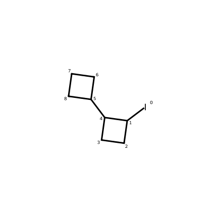 IC1CCC1C1CCC1